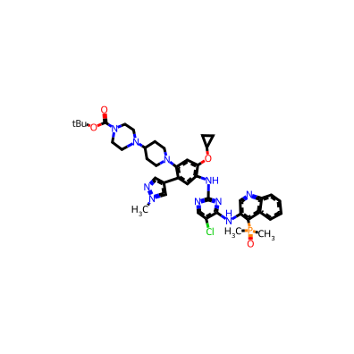 Cn1cc(-c2cc(Nc3ncc(Cl)c(Nc4cnc5ccccc5c4P(C)(C)=O)n3)c(OC3CC3)cc2N2CCC(N3CCN(C(=O)OC(C)(C)C)CC3)CC2)cn1